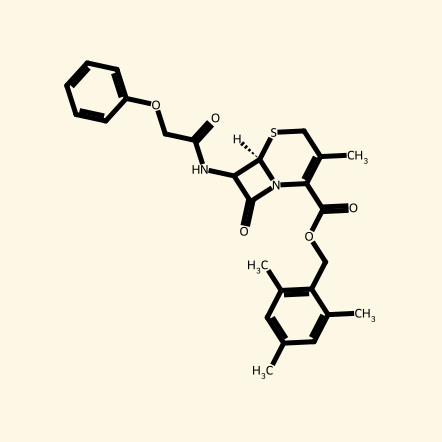 CC1=C(C(=O)OCc2c(C)cc(C)cc2C)N2C(=O)C(NC(=O)COc3ccccc3)[C@H]2SC1